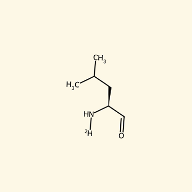 [2H]N[C@H](C=O)CC(C)C